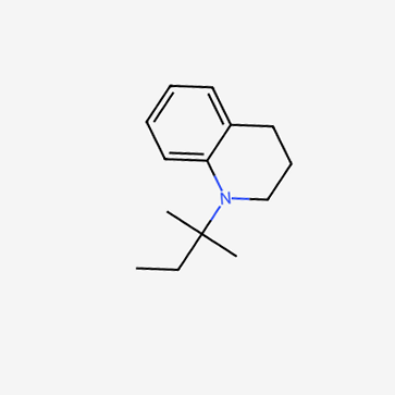 CCC(C)(C)N1CCCc2ccccc21